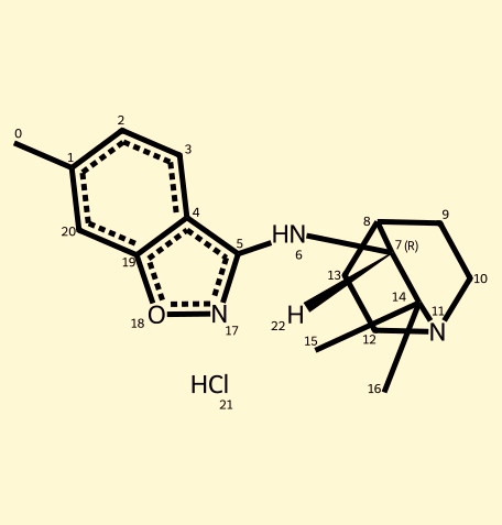 Cc1ccc2c(N[C@@H]3C4CCN(CC4)C3(C)C)noc2c1.Cl